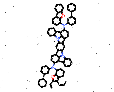 C=Cc1oc2c(N(c3cccc(-c4ccccc4)c3)c3ccc4c5cc6c(cc5n5c7ccccc7c3c45)c3ccc(N(c4cccc(-c5ccccc5)c4)c4cccc5c4oc4ccccc45)c4c5ccccc5n6c34)cccc2c1/C=C\C